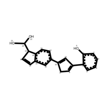 Oc1ccccc1C1=CCC(c2ccc3c(c2)C=CC3C(O)O)=C1